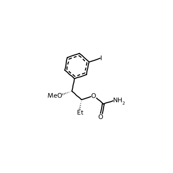 CC[C@@H](OC(N)=O)[C@H](OC)c1cccc(I)c1